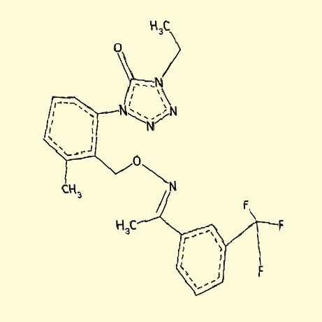 CCn1nnn(-c2cccc(C)c2CON=C(C)c2cccc(C(F)(F)F)c2)c1=O